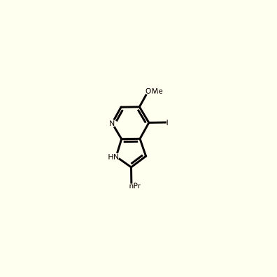 CCCc1cc2c(I)c(OC)cnc2[nH]1